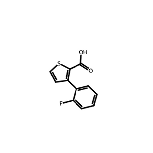 O=C(O)c1sccc1-c1ccccc1F